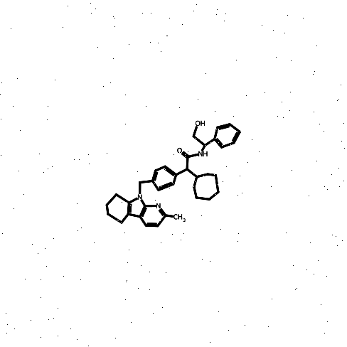 Cc1ccc2c3c(n(Cc4ccc(C(C(=O)NC(CO)c5ccccc5)C5CCCCCC5)cc4)c2n1)CCCC3